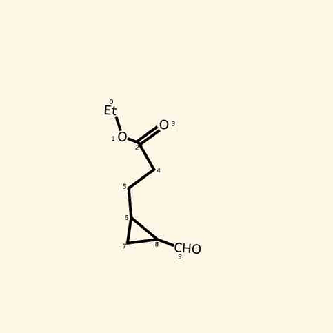 CCOC(=O)CCC1CC1C=O